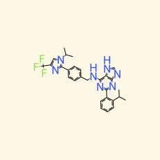 CC(C)c1ccccc1-c1nc(NCc2ccc(-c3nc(C(F)(F)F)cn3C(C)C)cc2)c2[nH]cnc2n1